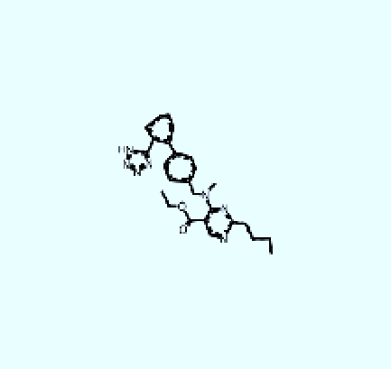 CCCCc1ncc(C(=O)OCC)c(N(C)Cc2ccc(-c3ccccc3-c3nnn[nH]3)cc2)n1